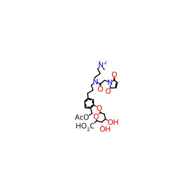 CC(=O)OCc1ccc(CCCN(CCC[N+](C)(C)C)C(=O)CN2C(=O)C=CC2=O)cc1OC1CC(O)[C@H](O)C(C(=O)O)O1